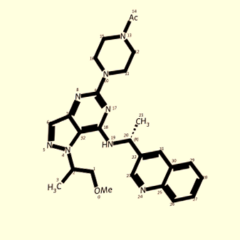 COCC(C)n1ncc2nc(N3CCN(C(C)=O)CC3)nc(N[C@H](C)c3cnc4ccccc4c3)c21